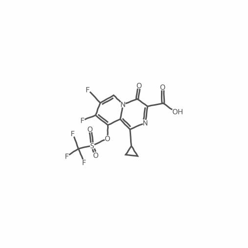 O=C(O)c1nc(C2CC2)c2c(OS(=O)(=O)C(F)(F)F)c(F)c(F)cn2c1=O